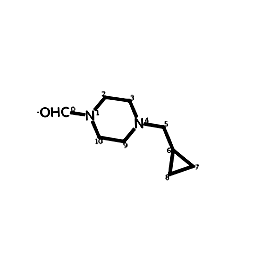 O=[C]N1CCN(CC2CC2)CC1